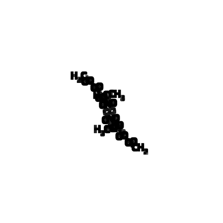 C=CC(=O)OCCOC(=O)CCC(=O)OCC(CC(C)C)N1C(=O)c2ccc3c4c(ccc(c24)C1=O)C(=O)N(C(COC(=O)CCC(=O)OCCOC(=O)C=C)CC(C)C)C3=O